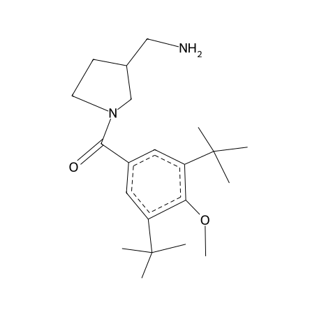 COc1c(C(C)(C)C)cc(C(=O)N2CCC(CN)C2)cc1C(C)(C)C